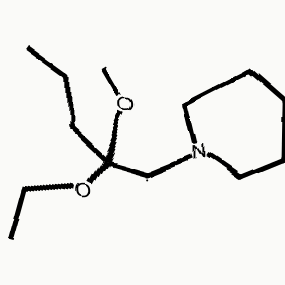 CCCC([CH]N1CCCCC1)(OC)OCC